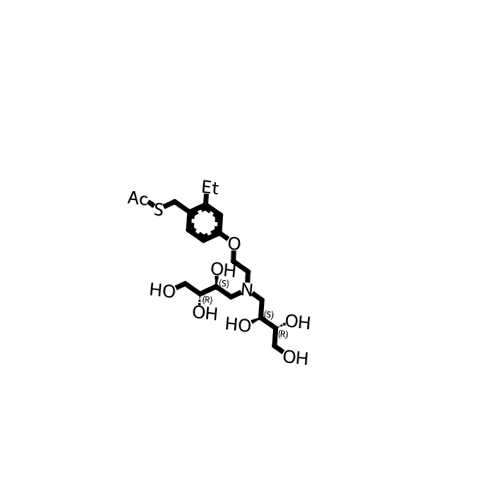 CCc1cc(OCCN(C[C@H](O)[C@H](O)CO)C[C@H](O)[C@H](O)CO)ccc1CSC(C)=O